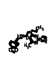 CCCN(CC(=O)NCCc1ccc2c(c1)OCO2)c1cc(C)nc(-n2ccnc2)n1